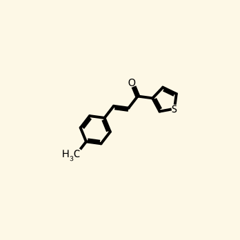 Cc1ccc(C=CC(=O)c2ccsc2)cc1